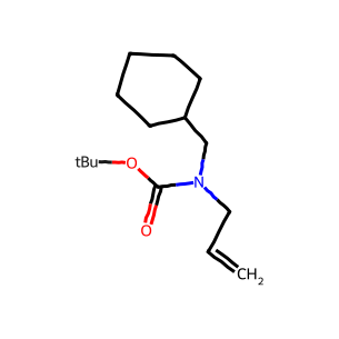 C=CCN(CC1CCCCC1)C(=O)OC(C)(C)C